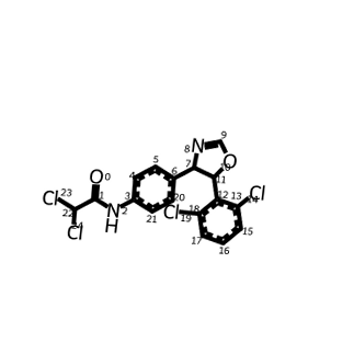 O=C(Nc1ccc(C2N=COC2c2c(Cl)cccc2Cl)cc1)C(Cl)Cl